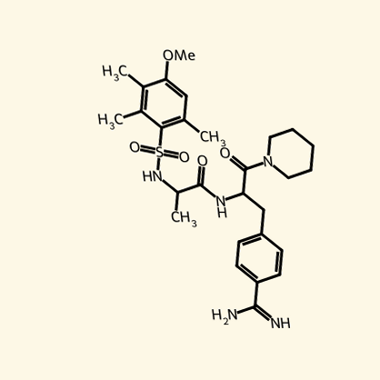 COc1cc(C)c(S(=O)(=O)NC(C)C(=O)NC(Cc2ccc(C(=N)N)cc2)C(=O)N2CCCCC2)c(C)c1C